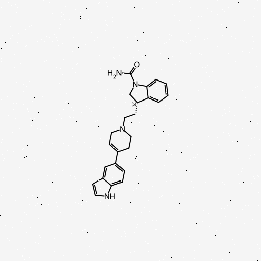 NC(=O)N1C[C@@H](CCN2CC=C(c3ccc4[nH]ccc4c3)CC2)c2ccccc21